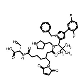 CC(C)(C)[C@H](c1cc(-c2cc(F)ccc2F)cn1Cc1ccccc1)N(CC1CCNC1)C(=O)CC(CCCC(=O)N[C@@H](CS)C(=O)O)CN1C(=O)C=CC1=O